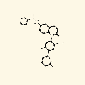 COc1cc(-c2cccc(C(F)(F)F)n2)c(F)cc1-n1c(=O)ccc2cc(S(=O)(=O)Nc3ccon3)ccc21